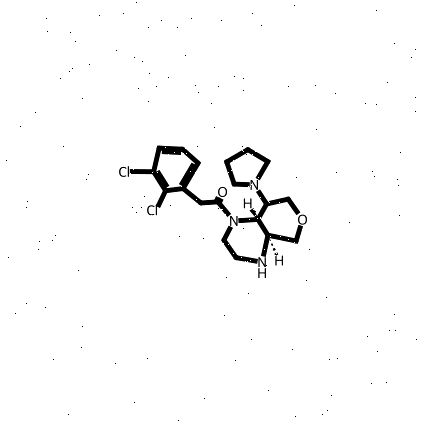 O=C(Cc1cccc(Cl)c1Cl)N1CCN[C@@H]2COCC(N3CCCC3)[C@H]21